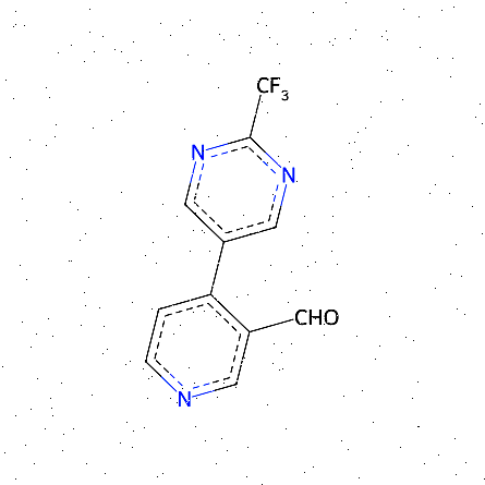 O=Cc1cnccc1-c1cnc(C(F)(F)F)nc1